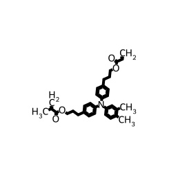 C=CC(=O)OCCCc1ccc(N(c2ccc(CCCOC(=O)C(=C)C)cc2)c2ccc(C)c(C)c2)cc1